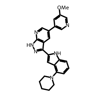 COc1cncc(-c2cnc3[nH]nc(-c4cc5c(N6CCCCC6)cccc5[nH]4)c3c2)c1